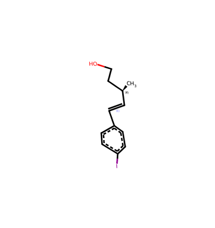 C[C@@H](/C=C/c1ccc(I)cc1)CCO